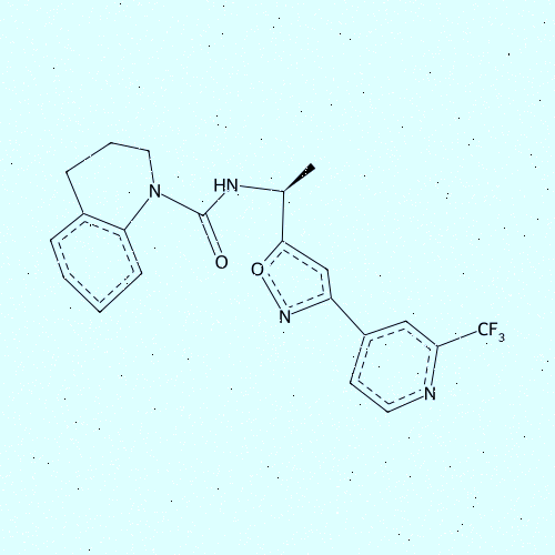 C[C@H](NC(=O)N1CCCc2ccccc21)c1cc(-c2ccnc(C(F)(F)F)c2)no1